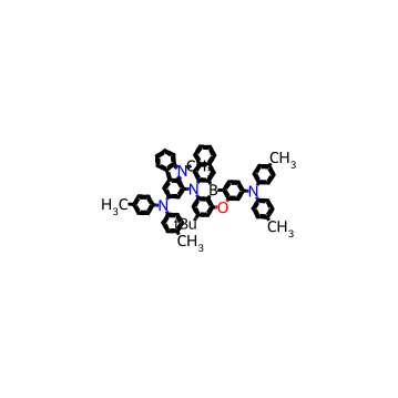 Cc1ccc(N(c2ccc(C)cc2)c2ccc3c(c2)Oc2cc(C(C)(C)C)cc4c2B3c2cc3ccccc3cc2N4c2cc(N(c3ccc(C)cc3)c3ccc(C)cc3)cc3c4ccccc4n(C)c23)cc1